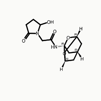 O=C(CN1C(=O)CCC1O)N[C@]12C[C@@H]3C[C@H](C[C@H](C3)O1)O2